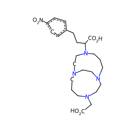 O=C(O)CN1CCCN2CCN(CCCN(C(CCc3ccc([N+](=O)[O-])cc3)C(=O)O)CC2)CC1